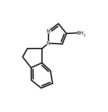 Bc1cnn(C2CCc3ccccc32)c1